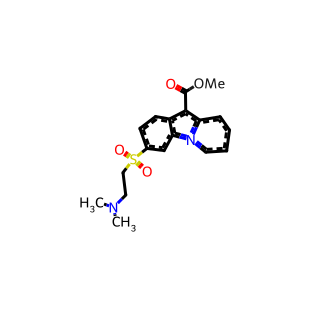 COC(=O)c1c2ccc(S(=O)(=O)CCN(C)C)cc2n2ccccc12